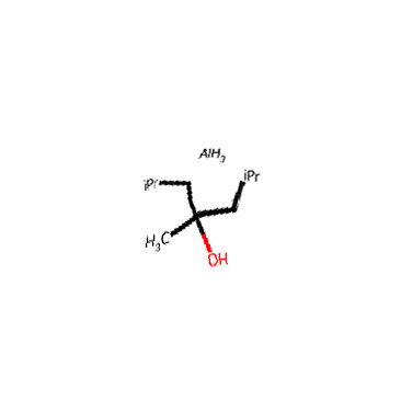 CC(C)CC(C)(O)CC(C)C.[AlH3]